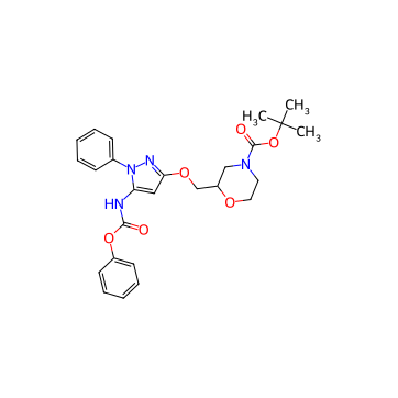 CC(C)(C)OC(=O)N1CCOC(COc2cc(NC(=O)Oc3ccccc3)n(-c3ccccc3)n2)C1